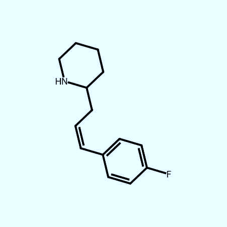 Fc1ccc(/C=C\CC2CCCCN2)cc1